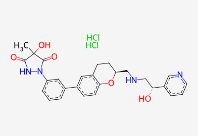 CC1(O)C(=O)NN(c2cccc(-c3ccc4c(c3)CC[C@@H](CNC[C@@H](O)c3cccnc3)O4)c2)C1=O.Cl.Cl